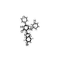 O=c1[nH]c(N2CCOCC2)nc(N[C@@H]2CCCNC2)c1-c1nc2cc(Br)ccc2s1